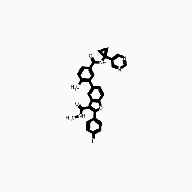 CNC(=O)c1c(-c2ccc(F)cc2)oc2ccc(-c3cc(C(=O)NC4(c5cncnc5)CC4)ccc3C)cc12